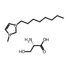 CCCCCCCCN1C=CN(C)C1.N[C@@H](CO)C(=O)O